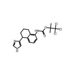 CC(C)(OC(=O)Nc1cccc2c1CCCC2c1c[nH]cn1)C(Cl)(Cl)Cl